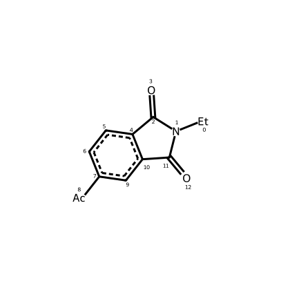 CCN1C(=O)c2ccc(C(C)=O)cc2C1=O